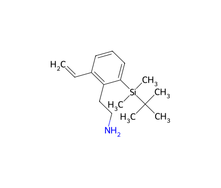 C=Cc1cccc([Si](C)(C)C(C)(C)C)c1CCN